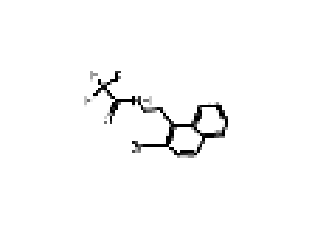 O=C(NCCc1c(Br)ccc2ccccc12)C(F)(F)F